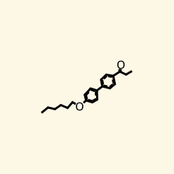 CCCCCCOc1ccc(-c2ccc(C(=O)CC)cc2)cc1